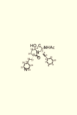 CC(=O)N[C@@H](C(=O)O)[C@H](C#Cc1ccccc1)N1CCC[C@@H](CCc2ccncc2)C1=O